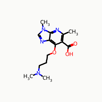 Cc1nc2c(ncn2C)c(OCCCN(C)C)c1C(=O)O